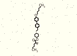 CCCCCCOc1ccc(-c2ccc(CC[C@H]3CC[C@H](OC(=O)[C@@H](F)CCCC)CC3)cc2)cc1